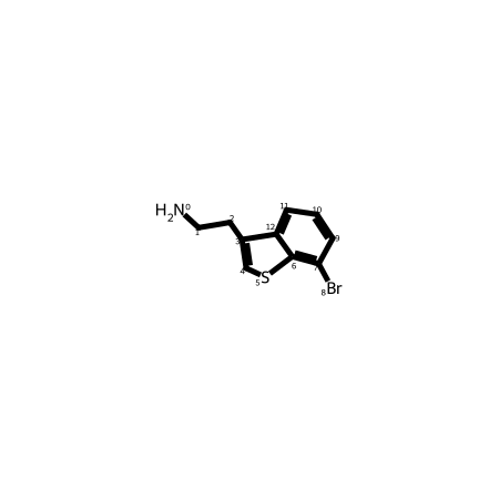 NCCc1csc2c(Br)cccc12